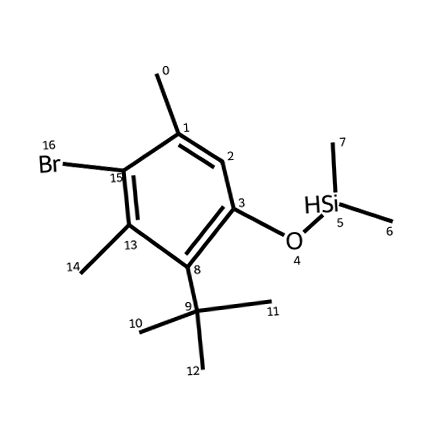 Cc1cc(O[SiH](C)C)c(C(C)(C)C)c(C)c1Br